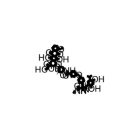 CCNC(=O)c1nnc(-c2cc(C(C)C)c(O)cc2O)n1-c1ccc(Oc2ccc(C(=O)N[C@H]3C[C@H](O[C@H]4C[C@](O)(C(=O)CO)Cc5c(O)c6c(c(O)c54)C(=O)c4c(OC)cccc4C6=O)O[C@@H](C)[C@H]3O)cc2)cc1